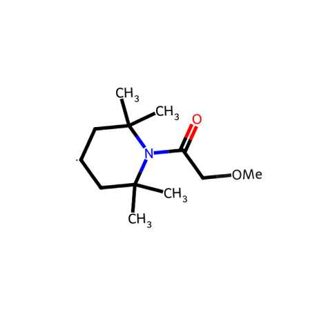 COCC(=O)N1C(C)(C)C[CH]CC1(C)C